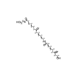 O=C(CSCSCC[S+]([O-])CCSCSCCSC(=O)CSCSCC[S+]([O-])CCO)SCCO